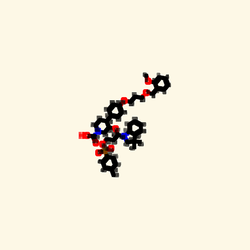 COc1ccccc1COCCCOc1ccc(C2CCN(C(=O)O)CC2OC(CCOS(=O)(=O)c2ccc(C)cc2)N2CC(C)(C)c3ccccc32)cc1